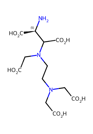 N[C@H](C(=O)O)C(C(=O)O)N(CCN(CC(=O)O)CC(=O)O)CC(=O)O